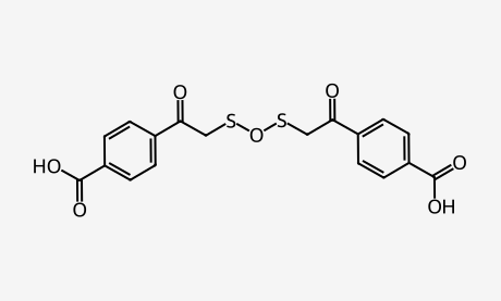 O=C(O)c1ccc(C(=O)CSOSCC(=O)c2ccc(C(=O)O)cc2)cc1